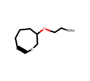 CNCCOC1CCC#CCCC1